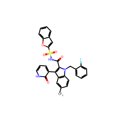 O=C(NS(=O)(=O)c1cc2ccccc2o1)c1c(-c2ccc[nH]c2=O)c2cc(C(F)(F)F)ccc2n1Cc1ccccc1F